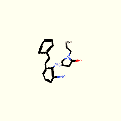 CCCCCCCCCCCCN1CCCC1=O.Nc1cccc(C=Cc2ccccc2)c1N